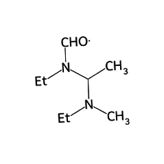 CCN(C)C(C)N([C]=O)CC